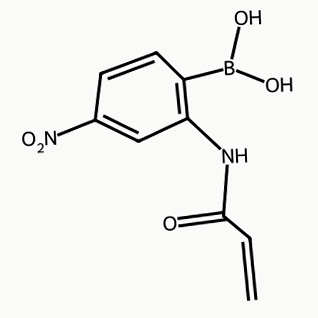 C=CC(=O)Nc1cc([N+](=O)[O-])ccc1B(O)O